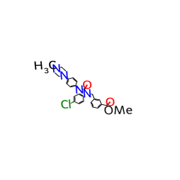 COC(=O)c1cccc(Cn2c(=O)n(-c3ccc(N4CCN(C)CC4)cc3)c3cc(Cl)ccc32)c1